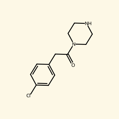 O=C(Cc1ccc(Cl)cc1)N1CCNCC1